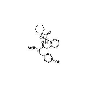 CC(=O)N[C@@H](Cc1ccc(O)cc1)C(=O)Sc1ccccc1NC(=O)C1(C)CCCCC1